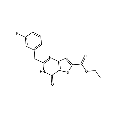 CCOC(=O)c1cc2nc(Cc3cccc(F)c3)[nH]c(=O)c2s1